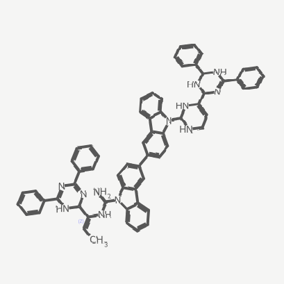 C/C=C(\NC(N)n1c2ccccc2c2cc(-c3ccc4c(c3)c3ccccc3n4C3NCC=C(C4N=C(c5ccccc5)NC(c5ccccc5)N4)N3)ccc21)C1N=C(c2ccccc2)N=C(c2ccccc2)N1